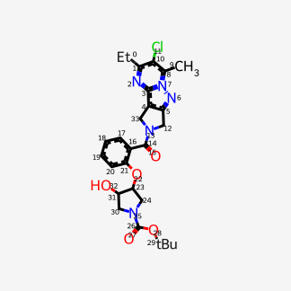 CCc1nc2c3c(nn2c(C)c1Cl)CN(C(=O)c1ccccc1OC1CN(C(=O)OC(C)(C)C)CC1O)C3